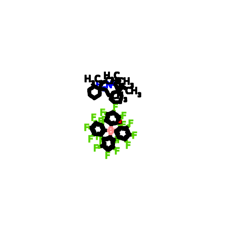 CCC([NH2+]C(CC)C1(C(C)C)CCCCC1)C1(C(C)C)CCCCC1.Fc1c(F)c(F)c([B-](c2c(F)c(F)c(F)c(F)c2F)(c2c(F)c(F)c(F)c(F)c2F)c2c(F)c(F)c(F)c(F)c2F)c(F)c1F